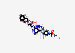 CC(=O)N1CCC(Nc2ncnc3c(NC[C@H](O)CN4CCc5ccccc5C4)nccc23)CC1